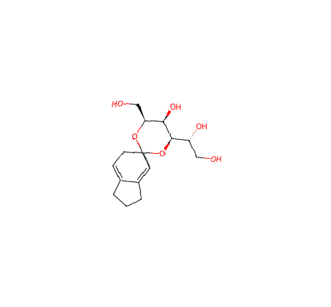 OC[C@@H](O)[C@H]1OC2(C=C3CCCC3=CC2)O[C@@H](CO)[C@H]1O